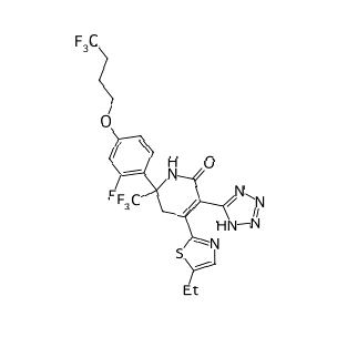 CCc1cnc(C2=C(c3nnn[nH]3)C(=O)NC(c3ccc(OCCCC(F)(F)F)cc3F)(C(F)(F)F)C2)s1